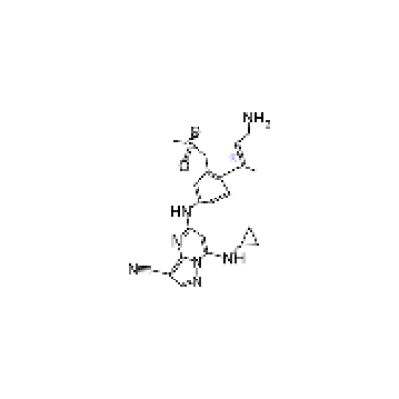 C/C(=C\CN)c1ccc(Nc2cc(NC3CC3)n3ncc(C#N)c3n2)cc1CS(C)(=O)=O